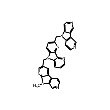 Cn1c2cnccc2c2cc(Cn3c4cccnc4c4nc(Cn5c6ccncc6c6cnccc65)ccc43)cnc21